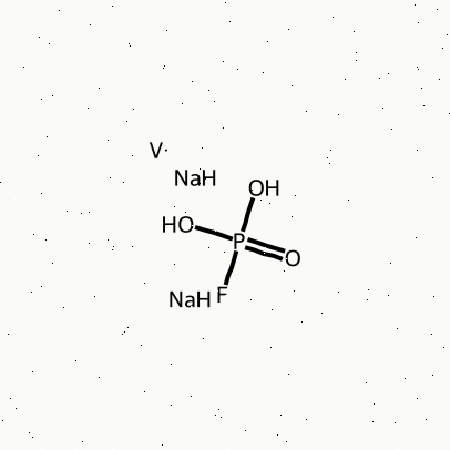 O=P(O)(O)F.[NaH].[NaH].[V]